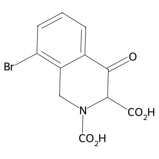 O=C(O)C1C(=O)c2cccc(Br)c2CN1C(=O)O